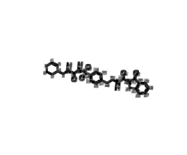 O=C(NCC1C=CCCC1)NS(=O)(=O)c1ccc(CCNC(=O)N2Cc3ccccc3C2=O)cc1